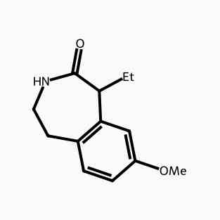 CCC1C(=O)NCCc2ccc(OC)cc21